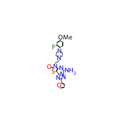 COc1ccc(N2CCN(CCn3c(=O)sc4c3nc(N)n3nc(-c5ccco5)nc43)CC2)c(F)c1